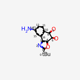 CC(C)(C)c1nc2c(o1)C(=O)C(=O)c1ccc(N)cc1-2